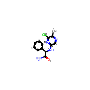 N#Cc1ncc(NC(C(N)=O)c2ccccc2)nc1Cl